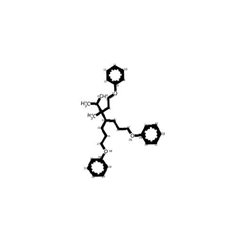 C[C](C)C(C)(CCOc1ccccc1)C(CCCOc1ccccc1)CCCOc1ccccc1